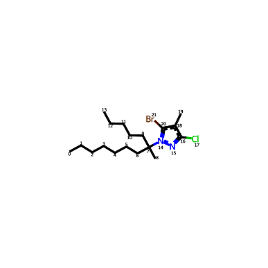 CCCCCCCC(C)(CCCCC)n1nc(Cl)c(C)c1Br